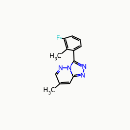 Cc1cnn2c(-c3cccc(F)c3C)nnc2c1